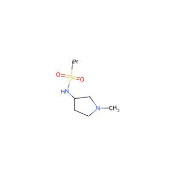 CC(C)S(=O)(=O)NC1CCN(C)C1